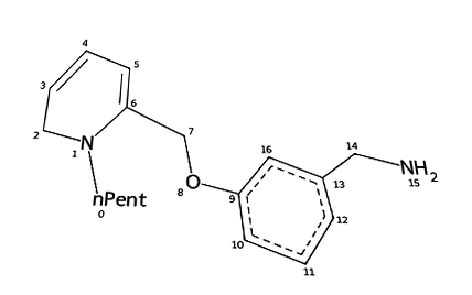 CCCCCN1CC=CC=C1COc1cccc(CN)c1